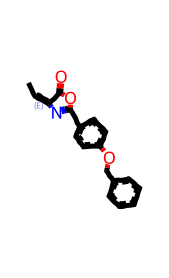 C/C=C1/N=C(c2ccc(OCc3ccccc3)cc2)OC1=O